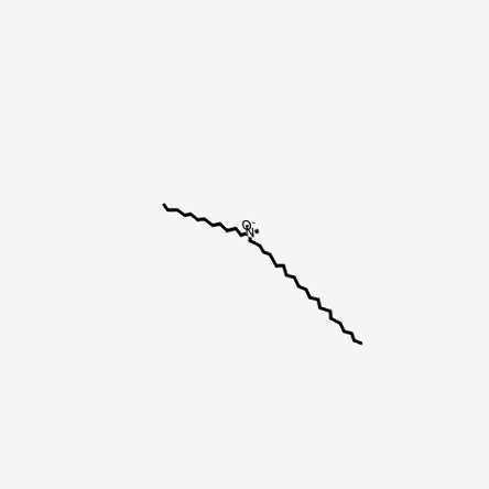 CCCCCCCCCCCCCCCCCCCC[N+](C)([O-])CCCCCCCCCCCC